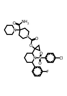 NC(=O)C1(N2CCCCC2)CCN(C(=O)OC2(C3CCCC(c4cccc(F)c4)N3S(=O)(=O)c3ccc(Cl)cc3)CC2)CC1